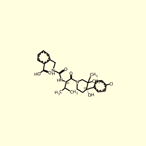 CC(C)[C@@H](NC(=O)NCc1ccccc1C(=O)O)C(=O)N1CC[C@](O)(c2ccc(Cl)cc2)C(C)(C)C1